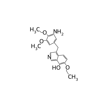 CCOc1ccc2c(Cc3cc(N)c(OCC)c(OC)c3)cncc2c1O